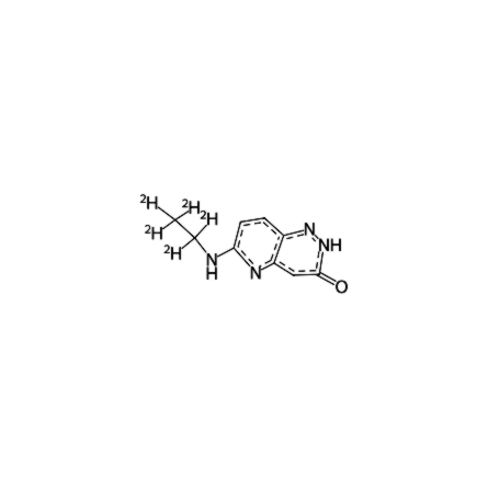 [2H]C([2H])([2H])C([2H])([2H])Nc1ccc2n[nH]c(=O)cc2n1